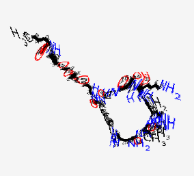 C=C1NC(CCCCN)C(=O)NC(CO)C(=O)NCC(=O)N[C@H](C(=O)NCCCOCCOCCOCCCNC(=O)CCCC)CCCCn2cc(nn2)CC(N)C(=O)NC(C(C)C)C(=O)N[C@H]1CC1=CNCN1